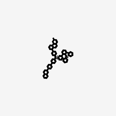 CC1C=Cc2ccc3c(-c4ccc(N(c5ccc(-c6ccc(-c7ccc8ccccc8c7)cc6)cc5)c5cccc(-c6cccc7c8ccccc8n(-c8ccccc8)c67)c5)cc4)cccc3c2C1